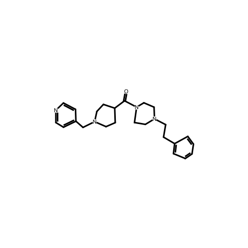 O=C(C1CCN(Cc2ccncc2)CC1)N1CCN(CCc2ccccc2)CC1